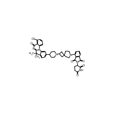 CC1(C)c2ccc(C3CCN(C4CC5(CCN(c6cccc7c6C(=O)N(C6CCC(=O)NC6=O)C7=O)CC5)C4)CC3)cc2-n2c1nc(=O)c1c(Cl)cccc12